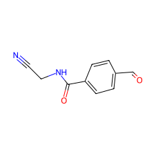 N#CCNC(=O)c1ccc(C=O)cc1